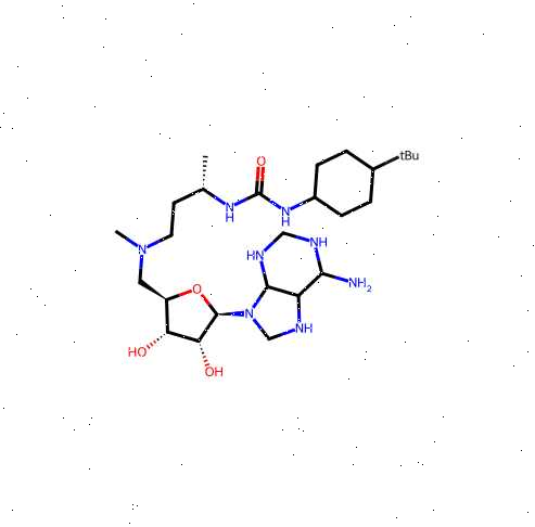 C[C@@H](CCN(C)C[C@H]1O[C@@H](N2CNC3C(N)NCNC32)[C@H](O)[C@@H]1O)NC(=O)NC1CCC(C(C)(C)C)CC1